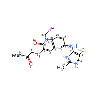 CNC(=O)COc1cc2cc(Nc3nc(C)ncc3Cl)ccc2n(CI)c1=O